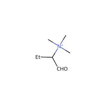 CCC(C=O)[N+](C)(C)C